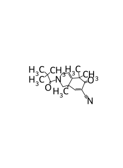 CC(C)(C)C(=O)N1CC=C2C(C)(C)C(=O)C(C#N)=C[C@]2(C)C1